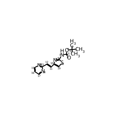 CC(C)(C)OC(=O)Nc1nc(C=Cc2ncccn2)cs1